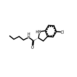 CCCCNC(=O)[C@H]1Cc2cc(Cl)ccc2N1